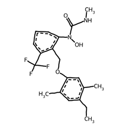 CCc1cc(C)c(OCc2c(N(O)C(=O)NC)cccc2C(F)(F)F)cc1C